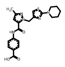 Cc1cc(C(=O)Nc2ccc(C(=O)O)cc2)n(Cc2csc(N3CCCCC3)n2)n1